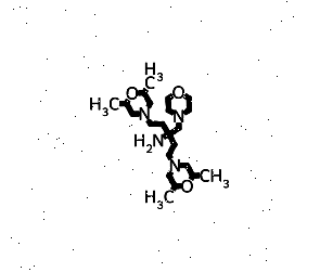 CC1CN(CCC(N)(CCN2CC(C)OC(C)C2)CN2CCOCC2)CC(C)O1